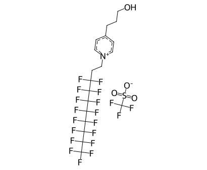 O=S(=O)([O-])C(F)(F)F.OCCCc1cc[n+](CCC(F)(F)C(F)(F)C(F)(F)C(F)(F)C(F)(F)C(F)(F)C(F)(F)C(F)(F)F)cc1